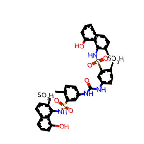 Cc1ccc(NC(=O)Nc2ccc(C)c(S(=O)(=O)Nc3c(S(=O)(=O)O)ccc4cccc(O)c34)c2)cc1S(=O)(=O)Nc1c(S(=O)(=O)O)ccc2cccc(O)c12